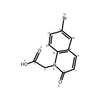 O=C(O)Cn1c(=O)ccc2cc(Br)ccc21